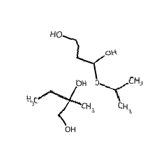 CC(C)OC(O)CCO.CCC(C)(O)CO